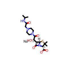 CC(C)NC(=O)CN1CCN(C(=O)[C@@H](O)[C@@H]2C(=O)N3[C@@H]2SC(C)(C)[C@@H]3C(=O)[O-])CC1.[Na+]